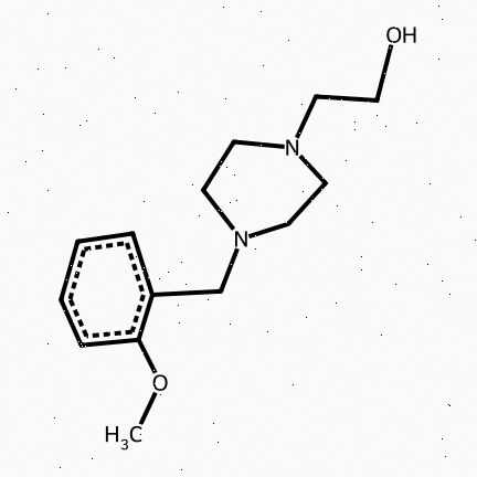 COc1ccccc1CN1CCN(CCO)CC1